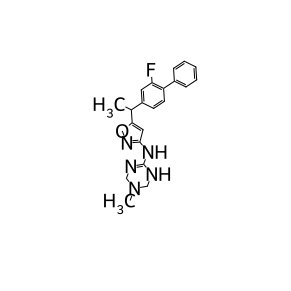 CC(c1ccc(-c2ccccc2)c(F)c1)c1cc(NC2=NCN(C)CN2)no1